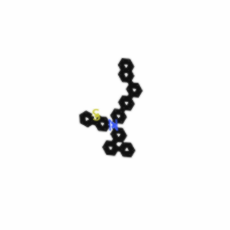 c1ccc(-c2ccccc2-c2cccc(N(c3ccc(-c4ccc(-c5cccc(-c6ccc7ccccc7c6)c5)cc4)cc3)c3ccc4c(c3)sc3ccccc34)c2)cc1